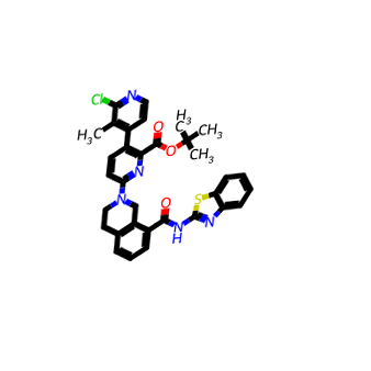 Cc1c(-c2ccc(N3CCc4cccc(C(=O)Nc5nc6ccccc6s5)c4C3)nc2C(=O)OC(C)(C)C)ccnc1Cl